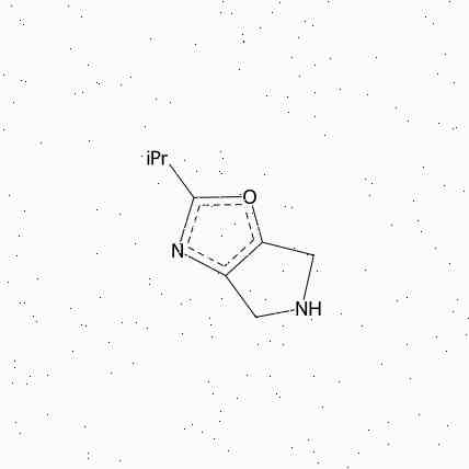 CC(C)c1nc2c(o1)CNC2